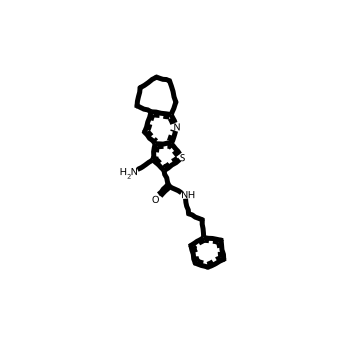 Nc1c(C(=O)NCCc2ccccc2)sc2nc3c(cc12)CCCCC3